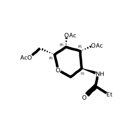 CCC(=O)N[C@H]1CO[C@H](COC(C)=O)[C@H](OC(C)=O)[C@@H]1OC(C)=O